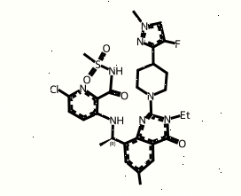 CCn1c(N2CCC(c3nn(C)cc3F)CC2)nc2c([C@@H](C)Nc3ccc(Cl)nc3C(=O)NS(C)(=O)=O)cc(C)cc2c1=O